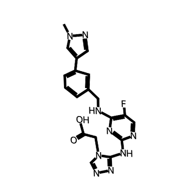 Cn1cc(-c2cccc(CNc3nc(Nc4nncn4CC(=O)O)ncc3F)c2)cn1